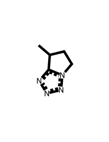 CC1CCn2nnnc21